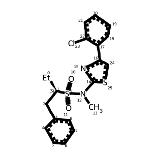 [CH2]C[C@H]([CH]c1ccccc1)S(=O)(=O)N(C)c1nc(-c2ccccc2Cl)cs1